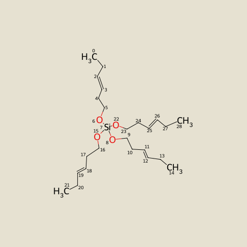 CCC=CCCO[Si](OCCC=CCC)(OCCC=CCC)OCCC=CCC